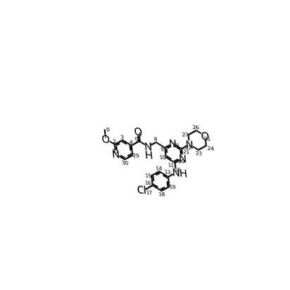 COc1cc(C(=O)NCc2cc(Nc3ccc(Cl)cc3)nc(N3CCOCC3)n2)ccn1